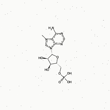 C[n+]1cn([C@@H]2O[C@H](COP(=O)(O)O)[C@@H](O)[C@H]2O)c2ncnc(N)c21